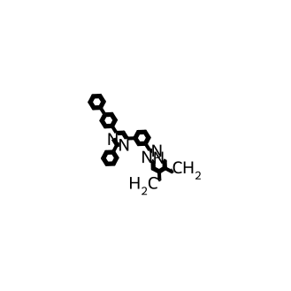 C=Cc1cc2nc(-c3cccc(-c4cc(-c5ccc(-c6ccccc6)cc5)nc(-c5ccccc5)n4)c3)nn2cc1C=C